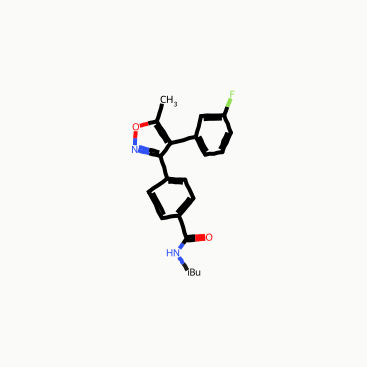 CCC(C)NC(=O)c1ccc(-c2noc(C)c2-c2cccc(F)c2)cc1